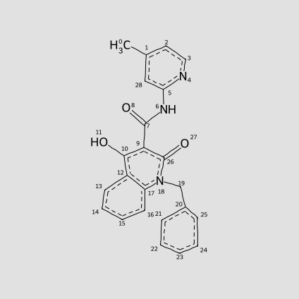 Cc1ccnc(NC(=O)c2c(O)c3ccccc3n(Cc3ccccc3)c2=O)c1